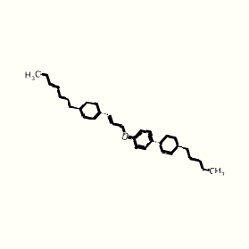 CCCCCCC[C@H]1CC[C@H](/C=C/COc2ccc([C@H]3CC[C@H](CCCCC)CC3)cc2)CC1